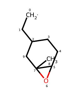 [CH2]CC1CCC2OC2(C)C1